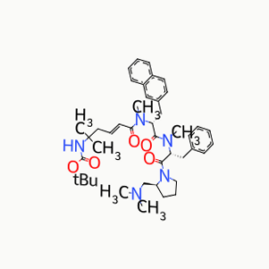 CN(C)C[C@@H]1CCCN1C(=O)[C@@H](Cc1ccccc1)N(C)C(=O)[C@@H](Cc1ccc2ccccc2c1)N(C)C(=O)C=CCC(C)(C)NC(=O)OC(C)(C)C